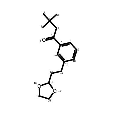 CC(C)(C)CC(=O)c1cccc(CCC2OCCO2)c1